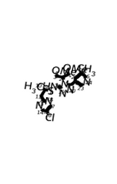 COCC(COC)n1c(NSC(C)Cc2ncc(Cl)cn2)nnc1-c1cncc(C)c1